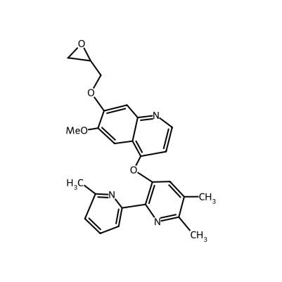 COc1cc2c(Oc3cc(C)c(C)nc3-c3cccc(C)n3)ccnc2cc1OCC1CO1